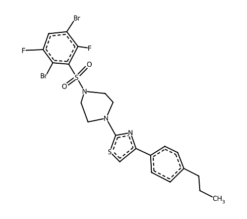 CCCc1ccc(-c2csc(N3CCN(S(=O)(=O)c4c(F)c(Br)cc(F)c4Br)CC3)n2)cc1